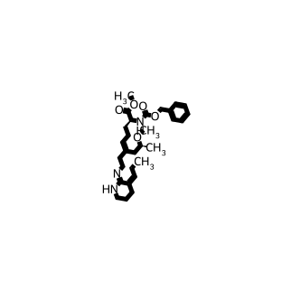 CC/C=C1/CCCN/C1=N/CC/C(=C/CC[C@H](NC(=O)OCc1ccccc1)C(=O)OC)C[C@@H](C)OC